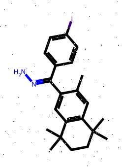 Cc1cc2c(cc1/C(=N/N)c1ccc(I)cc1)C(C)(C)CCC2(C)C